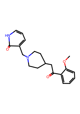 COc1ccccc1C(=O)CC1CCN(Cc2ccc[nH]c2=O)CC1